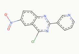 O=[N+]([O-])c1ccc2nc(-c3cccnc3)nc(Cl)c2c1